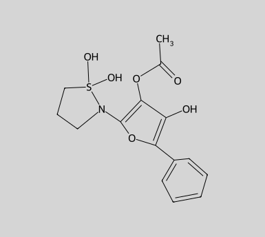 CC(=O)Oc1c(N2CCCS2(O)O)oc(-c2ccccc2)c1O